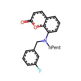 CCCCCN(Cc1cccc(F)c1)c1cccc2ccc(=O)oc12